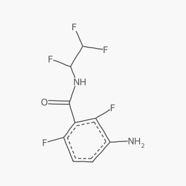 Nc1ccc(F)c(C(=O)NC(F)C(F)F)c1F